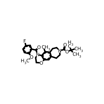 COc1ccc(F)cc1C(=O)N1CCOc2cc3c(c(C)c21)CCN(C(=O)OC(C)(C)C)CC3